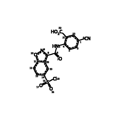 N#Cc1ccc(NC(=O)c2noc3ccc(S(=O)(=O)Cl)cc23)c(C(=O)O)c1